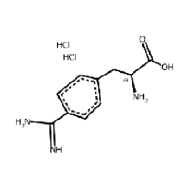 Cl.Cl.N=C(N)c1ccc(C[C@H](N)C(=O)O)cc1